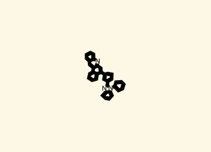 c1ccc(-n2c(-c3cccc(-c4cc5nc6ccccc6cc5c5ccccc45)c3)nc3ccccc32)cc1